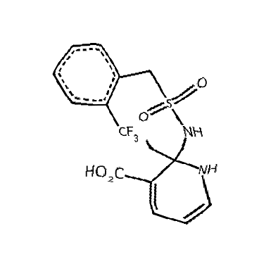 CC1(NS(=O)(=O)Cc2ccccc2C(F)(F)F)NC=CC=C1C(=O)O